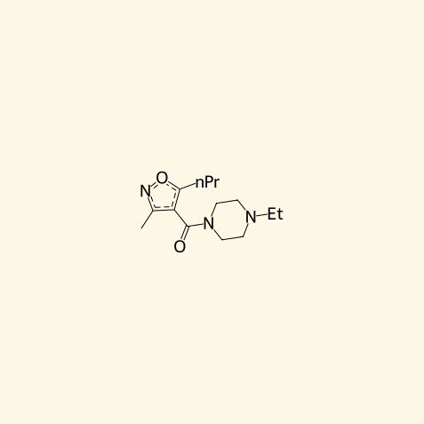 CCCc1onc(C)c1C(=O)N1CCN(CC)CC1